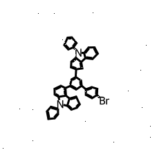 Brc1ccc(-c2cc(-c3ccc4c(c3)c3ccccc3n4-c3ccccc3)cc(-c3cccc4c3c3ccccc3n4-c3ccccc3)c2)cc1